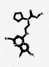 Cc1cc(NCCN(C(=O)OC(C)(C)C)C2CCCC2)n2nc(C)c(I)c2n1